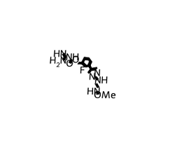 CONCCNc1ncc(-c2cccc(COC(=O)NC(=N)N)c2F)cn1